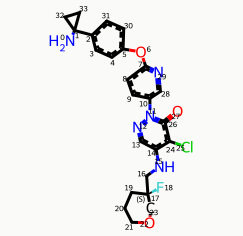 NC1(c2ccc(Oc3ccc(-n4ncc(NC[C@@]5(F)CCCOC5)c(Cl)c4=O)cn3)cc2)CC1